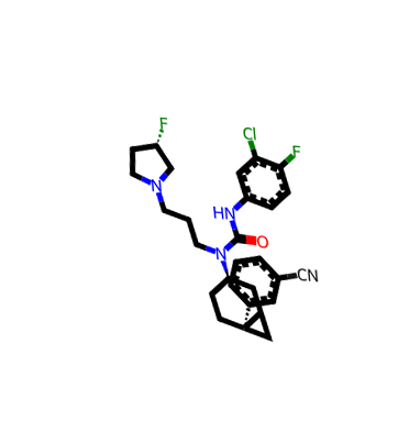 N#Cc1cccc([C@]23CC[C@@H](N(CCCN4CC[C@H](F)C4)C(=O)Nc4ccc(F)c(Cl)c4)CC2C3)c1